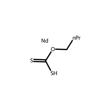 CCCCOC(=S)S.[Nd]